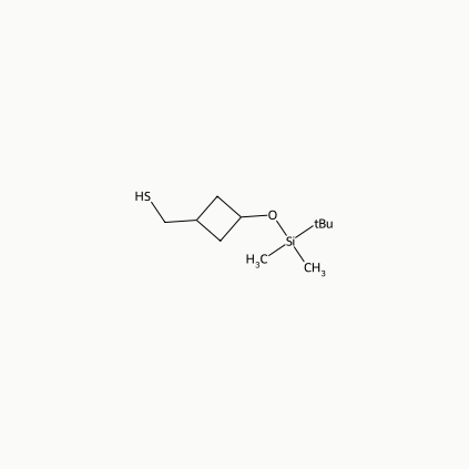 CC(C)(C)[Si](C)(C)OC1CC(CS)C1